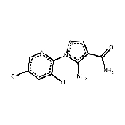 NC(=O)c1cnn(-c2ncc(Cl)cc2Cl)c1N